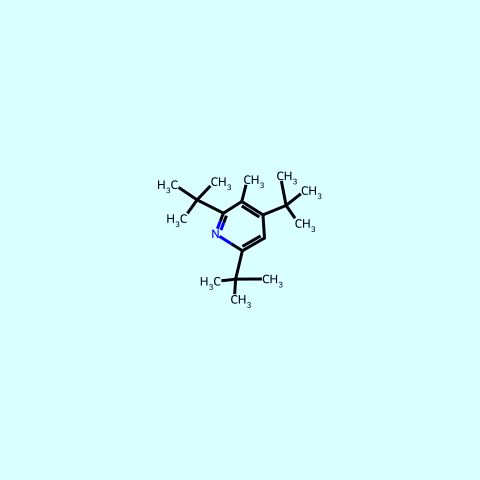 Cc1c(C(C)(C)C)cc(C(C)(C)C)nc1C(C)(C)C